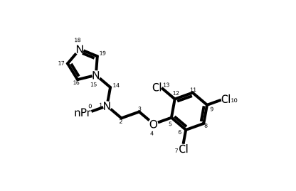 CCCN(CCOc1c(Cl)cc(Cl)cc1Cl)Cn1ccnc1